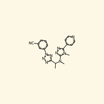 CC(c1nnn(-c2cccc(C#N)c2)n1)N(C)c1nnc(-c2ccncc2)n1C